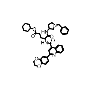 O=C(CCC(NC(=O)c1cc(-c2ccc3c(c2)OCCO3)nc2ccccc12)C(=O)NC1CCN(Cc2ccccc2)C1)OC1CCCCC1